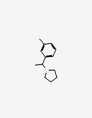 CC(c1cccc(Cl)c1)N1CCCC1